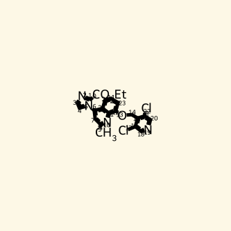 CCOC(=O)c1nccn1-c1cc(C)nc2c(OCc3c(Cl)cncc3Cl)cccc12